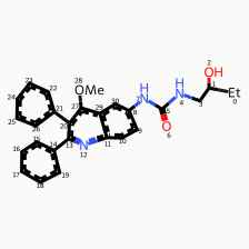 CCC(O)CNC(=O)Nc1ccc2nc(-c3ccccc3)c(-c3ccccc3)c(OC)c2c1